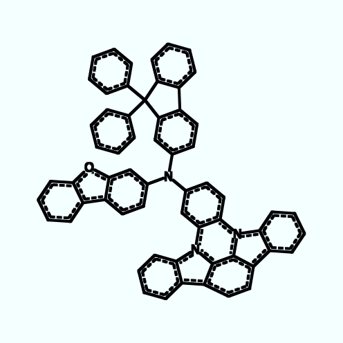 c1ccc(C2(c3ccccc3)c3ccccc3-c3ccc(N(c4ccc5c(c4)oc4ccccc45)c4ccc5c(c4)n4c6ccccc6c6ccc7c8ccccc8n5c7c64)cc32)cc1